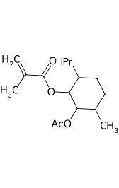 C=C(C)C(=O)OC1C(C(C)C)CCC(C)C1OC(C)=O